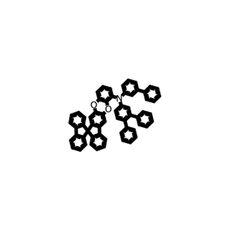 c1ccc(-c2cccc(N(c3ccc(-c4ccccc4)c(-c4ccccc4)c3)c3cccc4c3Oc3cc5c(cc3O4)C3(c4ccccc4-c4ccccc43)c3ccccc3-5)c2)cc1